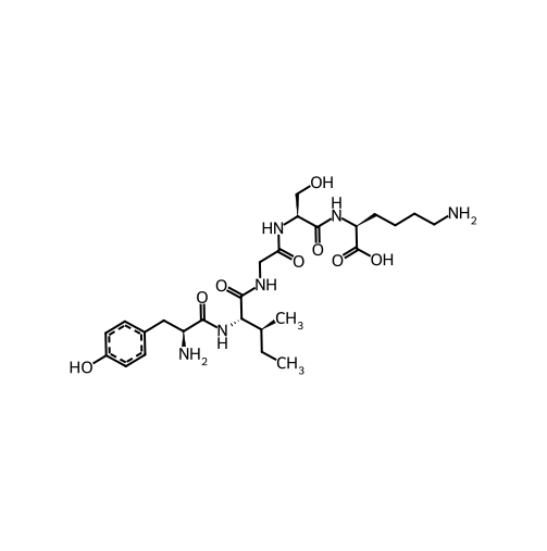 CC[C@H](C)[C@H](NC(=O)[C@@H](N)Cc1ccc(O)cc1)C(=O)NCC(=O)N[C@@H](CO)C(=O)N[C@@H](CCCCN)C(=O)O